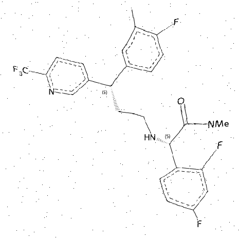 CNC(=O)[C@@H](NCC[C@H](c1ccc(C(F)(F)F)nc1)c1ccc(F)c(C)c1)c1ccc(F)cc1F